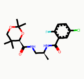 C[C@@H](CNC(=O)[C@@H]1OC(C)(C)OCC1(C)C)NC(=O)c1cc(Cl)ccc1F